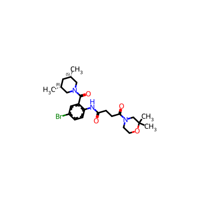 C[C@@H]1C[C@H](C)CN(C(=O)c2cc(Br)ccc2NC(=O)CCC(=O)N2CCOC(C)(C)C2)C1